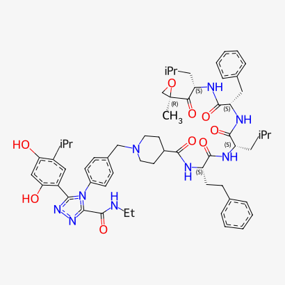 CCNC(=O)c1nnc(-c2cc(C(C)C)c(O)cc2O)n1-c1ccc(CN2CCC(C(=O)N[C@@H](CCc3ccccc3)C(=O)N[C@@H](CC(C)C)C(=O)N[C@@H](Cc3ccccc3)C(=O)N[C@@H](CC(C)C)C(=O)[C@@]3(C)CO3)CC2)cc1